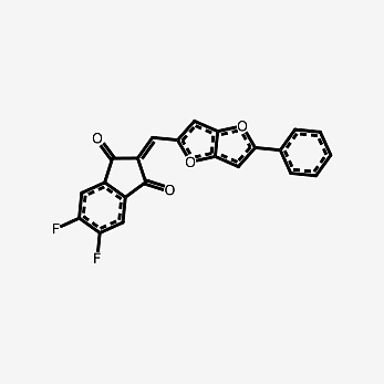 O=C1C(=Cc2cc3oc(-c4ccccc4)cc3o2)C(=O)c2cc(F)c(F)cc21